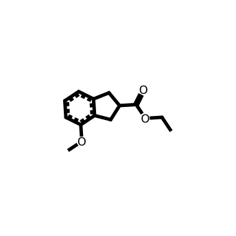 CCOC(=O)C1Cc2cccc(OC)c2C1